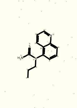 CCCN(C(N)=S)c1cccc2ncccc12